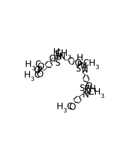 COc1ccc(/C=N/N(C)[PH](=S)Oc2ccc(/C=N/N(C)[PH](=S)Oc3ccc(/C=N/N(C)[PH](=S)Oc4ccc(CP(=O)(OC)OC)cc4)cc3)cc2)cc1